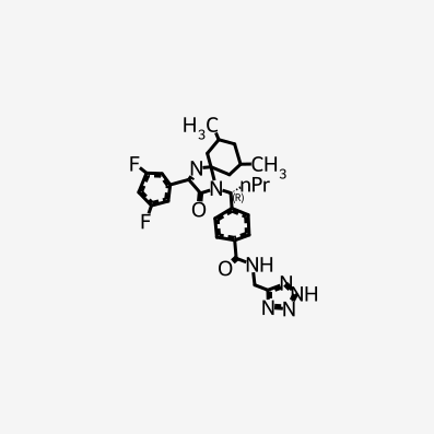 CCC[C@H](c1ccc(C(=O)NCc2nn[nH]n2)cc1)N1C(=O)C(c2cc(F)cc(F)c2)=NC12CC(C)CC(C)C2